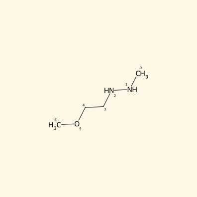 CNNCCOC